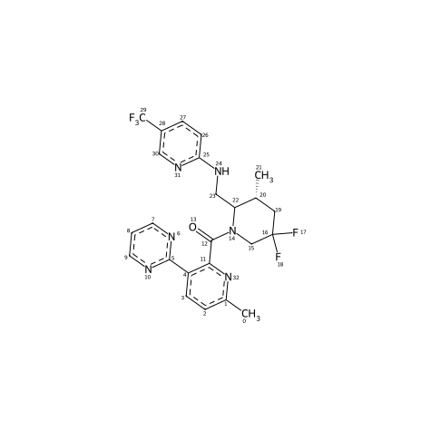 Cc1ccc(-c2ncccn2)c(C(=O)N2CC(F)(F)C[C@@H](C)C2CNc2ccc(C(F)(F)F)cn2)n1